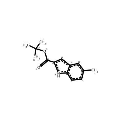 Cc1ccc2[nH]c(C(=O)OC(C)(C)C)cc2c1